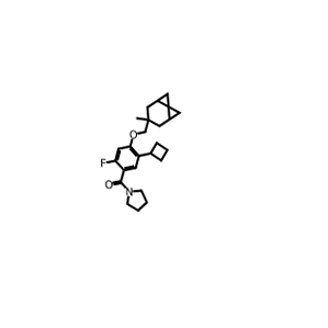 CC1(COc2cc(F)c(C(=O)N3CCCC3)cc2C2CCC2)CC2CC23CC3C1